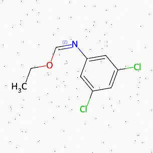 CCO/C=N\c1cc(Cl)cc(Cl)c1